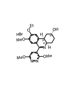 Br.CCOc1cc2c(cc1OC)C(c1cc(OC)nnc1OC)=N[C@@H]1CC[C@@H](O)C[C@H]21